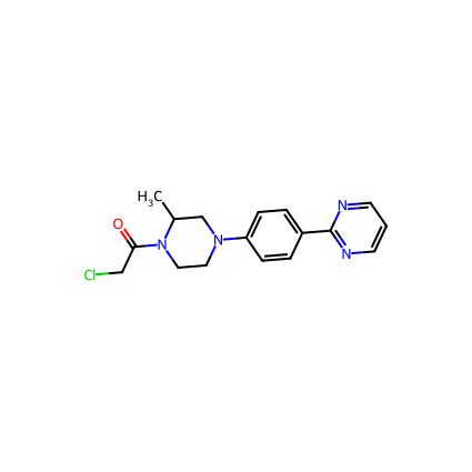 CC1CN(c2ccc(-c3ncccn3)cc2)CCN1C(=O)CCl